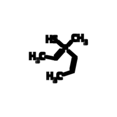 CC=P(C)(S)/C=C\C